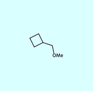 [CH2]OCC1CCC1